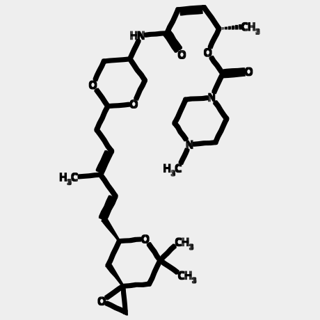 CC(/C=C/[C@@H]1C[C@]2(CO2)CC(C)(C)O1)=C\CC1OCC(NC(=O)/C=C\[C@H](C)OC(=O)N2CCN(C)CC2)CO1